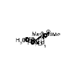 CNC(=O)c1ccc(NCC#Cc2nc3c(N[C@@H]4CCN(C)C[C@@H]4F)cccn3c2C(F)(F)C(F)(F)F)c(OC)c1